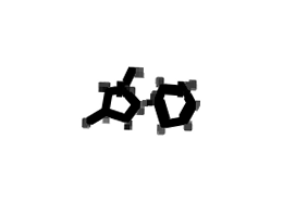 CC1C[C@@H](c2cccnc2)N(C)C1